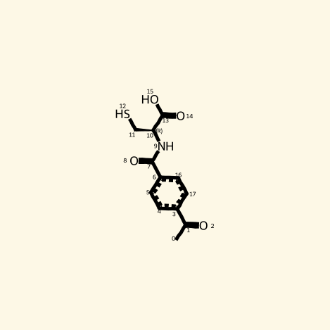 CC(=O)c1ccc(C(=O)N[C@@H](CS)C(=O)O)cc1